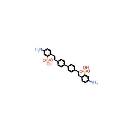 Nc1ccc(C=Cc2ccc(-c3ccc(C=Cc4ccc(N)cc4S(=O)(=O)O)cc3)cc2)c(S(=O)(=O)O)c1